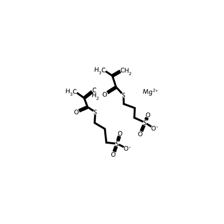 C=C(C)C(=O)SCCCS(=O)(=O)[O-].C=C(C)C(=O)SCCCS(=O)(=O)[O-].[Mg+2]